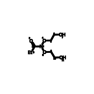 CCC(=O)N(OCCO)OCCO